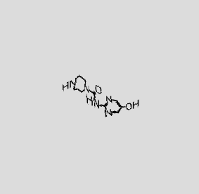 O=C(Nc1ncc(O)cn1)N1CCNCC1